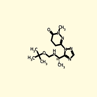 C[C@H](NCOC(C)(C)C)c1ncnn1C1=NN(C)C(=O)CC1